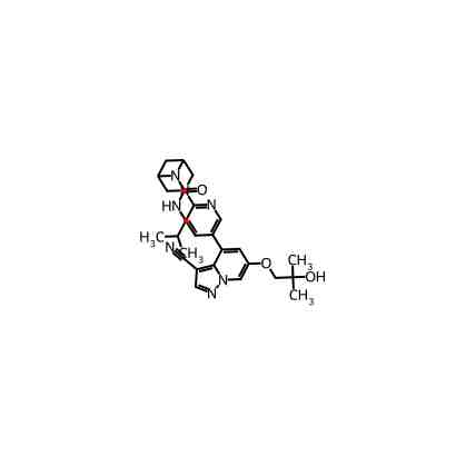 CC(C)CNC(=O)N1C2CC1CN(c1ccc(-c3cc(OCC(C)(C)O)cn4ncc(C#N)c34)cn1)C2